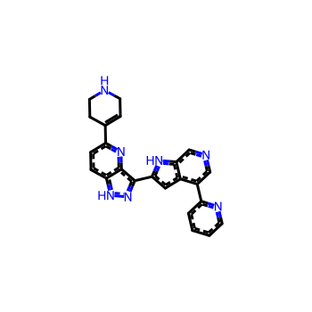 C1=C(c2ccc3[nH]nc(-c4cc5c(-c6ccccn6)cncc5[nH]4)c3n2)CCNC1